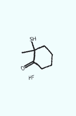 CC1(S)CCCCC1=O.F